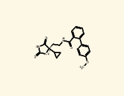 COc1ccc(-c2ccccc2C(=O)NCC[C@@]2(C3CC3)NC(=O)NC2=O)cc1